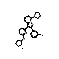 Brc1cccc(-c2nn3c(N4CCCC4)cccc3c2-c2ccnc(NC3CCCC3)n2)c1